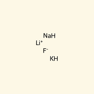 [F-].[KH].[Li+].[NaH]